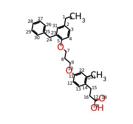 CCc1ccc(OCCCOc2ccc(CCC(=O)O)c(C)c2)c(Cc2ccccc2)c1